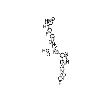 N#Cc1cnn2cc(-c3cnn(C4CCN(C(=O)CN5CCC(c6ccc(NC7CCC(=O)NC7=O)cc6F)CC5)CC4)c3)cc(-c3ccc(N4CCN(C(=O)Cc5ccc(F)cn5)CC4)nc3)c12.O=CO